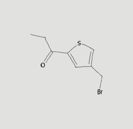 CCC(=O)c1cc(CBr)cs1